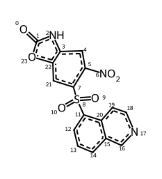 O=c1[nH]c2cc([N+](=O)[O-])c(S(=O)(=O)c3cccc4cnccc34)cc2o1